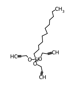 C#CCO[Si](CCCCCCCCCCCC)(OCC#C)OCC#C